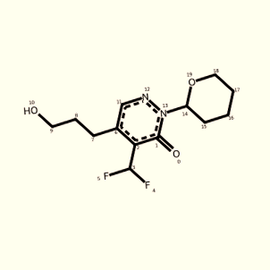 O=c1c(C(F)F)c(CCCO)cnn1C1CCCCO1